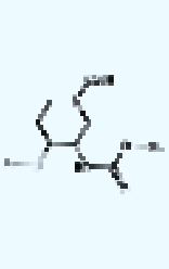 CCOC1CCN(C(=O)O)CC1NC(=O)OC(C)(C)C